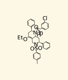 CCOC1=C2CN(S(=O)(=O)c3ccc(C)cc3)[C@H](c3ccccc3)C[C@@H]2N(S(=O)(=O)c2cccc(Cl)c2)[C@H](c2ccccc2)C1